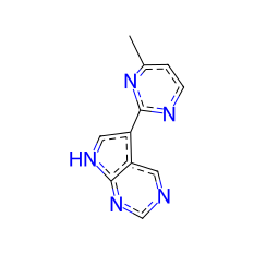 Cc1ccnc(-c2c[nH]c3ncncc23)n1